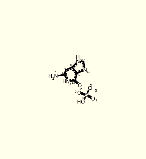 CS(=O)(=O)O.Nc1cc2[nH]cnc2c(=O)[nH]1